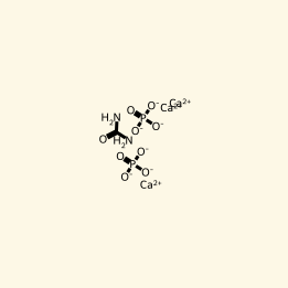 NC(N)=O.O=P([O-])([O-])[O-].O=P([O-])([O-])[O-].[Ca+2].[Ca+2].[Ca+2]